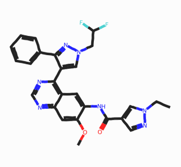 CCn1cc(C(=O)Nc2cc3c(-c4cn(CC(F)F)nc4-c4ccccc4)ncnc3cc2OC)cn1